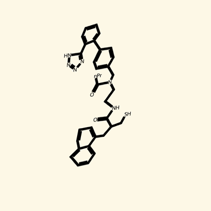 CCCC(=O)N(CCNC(=O)C(CS)Cc1cccc2ccccc12)Cc1ccc(-c2ccccc2-c2nnn[nH]2)cc1